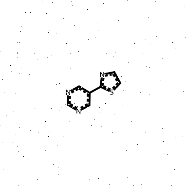 [c]1ncc(-c2nccs2)cn1